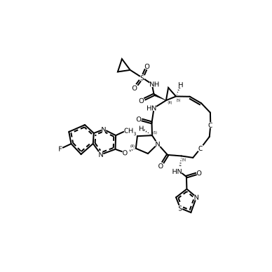 Cc1nc2ccc(F)cc2nc1O[C@@H]1C[C@H]2C(=O)N[C@]3(C(=O)NS(=O)(=O)C4CC4)C[C@H]3C=CCCCCC[C@H](NC(=O)c3cscn3)C(=O)N2C1